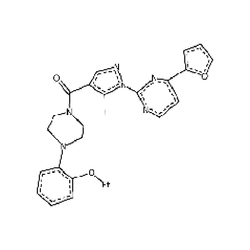 CCOc1ccccc1N1CCN(C(=O)c2cnn(-c3nccc(-c4ccco4)n3)c2C)CC1